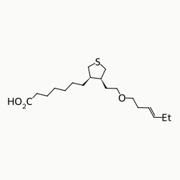 CCC=CCCOCC[C@@H]1CSC[C@@H]1CCCCCCC(=O)O